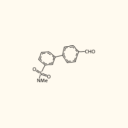 CNS(=O)(=O)c1cccc(-c2ccc(C=O)cc2)c1